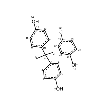 CC(C)(c1ccc(O)cc1)c1ccc(O)cc1.Oc1ccc(Cl)cc1